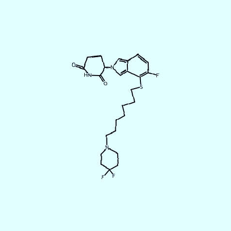 O=C1CCC(n2cc3ccc(F)c(SCCCCCCCN4CCC(F)(F)CC4)c3c2)C(=O)N1